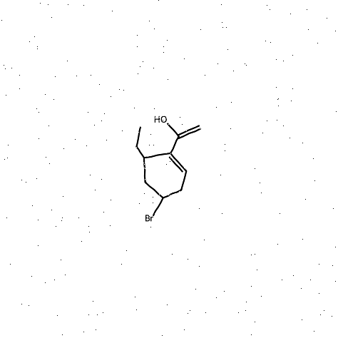 C=C(O)C1=CCC(Br)CC1CC